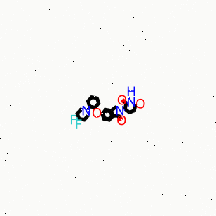 O=C1CCC(N2Cc3cc(O[C@@H]4CCCC[C@H]4N4CCC(F)(F)CC4)ccc3C2=O)C(=O)N1